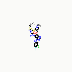 CCCSc1nn(CC(=O)Nc2cc3c(Nc4ccc(F)c(Cl)c4)ncnc3cc2OCC2CCN(C)CC2)c(=S)s1